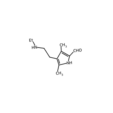 CCNCCc1c(C)[nH]c(C=O)c1C